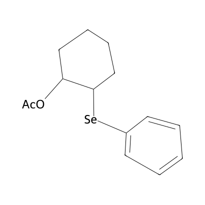 CC(=O)OC1CCCCC1[Se]c1ccccc1